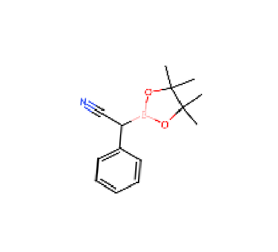 CC1(C)OB(C(C#N)c2ccccc2)OC1(C)C